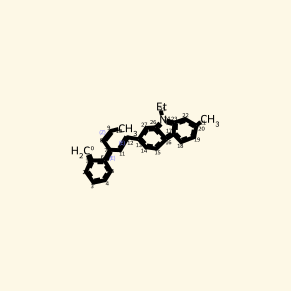 C=c1cccc/c1=C(/C=C\C)\C=C\c1ccc2c3ccc(C)cc3n(CC)c2c1